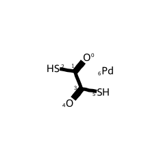 O=C(S)C(=O)S.[Pd]